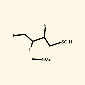 CNC.O=S(=O)(O)CC(F)C(F)CF